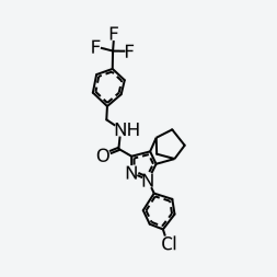 O=C(NCc1ccc(C(F)(F)F)cc1)c1nn(-c2ccc(Cl)cc2)c2c1C1CCC2C1